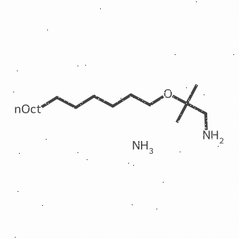 CCCCCCCCCCCCCCOC(C)(C)CN.N